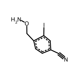 N#Cc1ccc(CON)c(I)c1